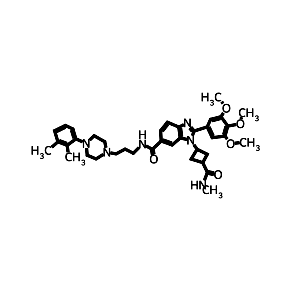 CNC(=O)C1CC(n2c(-c3cc(OC)c(OC)c(OC)c3)nc3ccc(C(=O)NCCCN4CCN(c5cccc(C)c5C)CC4)cc32)C1